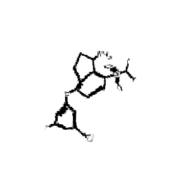 NC1CCc2c(Oc3cc(F)cc(Cl)c3)ccc(S(=O)(=O)C(F)F)c21